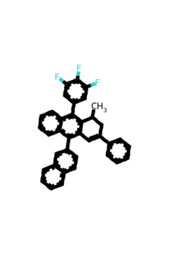 CC1CC(c2ccccc2)=Cc2c1c(-c1cc(F)c(F)c(F)c1)c1ccccc1c2-c1ccc2ccccc2c1